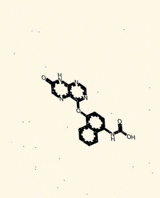 O=C(O)Nc1ccc(Oc2ncnc3[nH]c(=O)cnc23)c2ccccc12